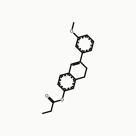 CCC(=O)Oc1ccc2c(c1)CCC(c1cccc(OC)c1)=[C]2